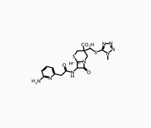 Cn1nnnc1SCC1(C(=O)O)CS[C@@H]2C(NC(=O)Cc3cccc(N)n3)C(=O)N2C1